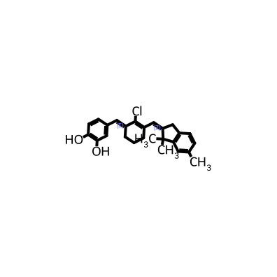 Cc1ccc2c(c1)C(C)(C)/C(=C\C1=C(Cl)C(=C/c3ccc(O)c(O)c3)/CCC1)C2